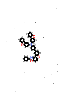 c1ccc(-c2nc3c(ccc4oc5ccc(-c6ccc(N(c7ccc8oc9ccccc9c8c7)c7ccc8oc9ccccc9c8c7)cc6)cc5c43)o2)cc1